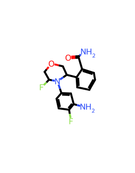 NC(=O)c1ccccc1C1COCC(F)N1c1ccc(F)c(N)c1